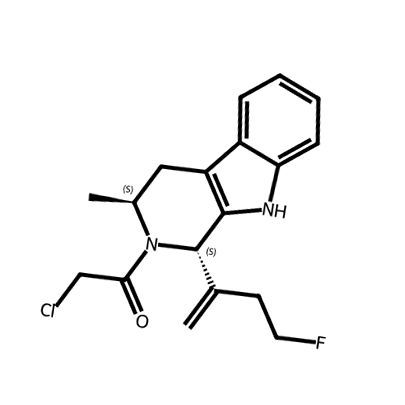 C=C(CCF)[C@H]1c2[nH]c3ccccc3c2C[C@H](C)N1C(=O)CCl